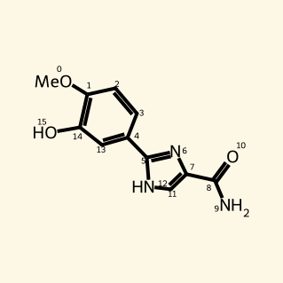 COc1ccc(-c2nc(C(N)=O)c[nH]2)cc1O